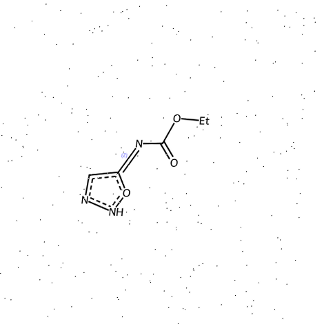 CCOC(=O)/N=c1/cn[nH]o1